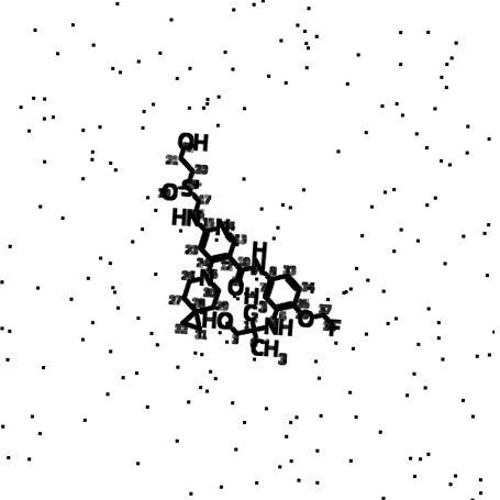 CC(C)(CO)Nc1cc(NC(=O)c2cnc(NC[S+]([O-])CCO)cc2N2CCC3(CC2)CC3)ccc1OCF